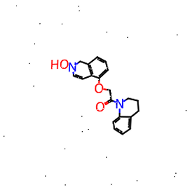 O=C(COc1cccc2c1C=CN(O)C2)N1CCCc2ccccc21